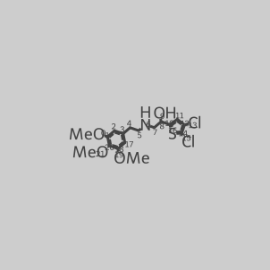 COc1cc(CCNCC(O)c2cc(Cl)c(Cl)s2)cc(OC)c1OC